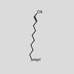 CCCCCCCCCCCCCCC=CC#N